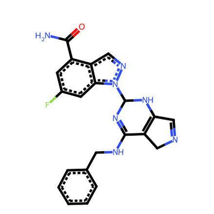 NC(=O)c1cc(F)cc2c1cnn2C1N=C(NCc2ccccc2)C2=C(C=NC2)N1